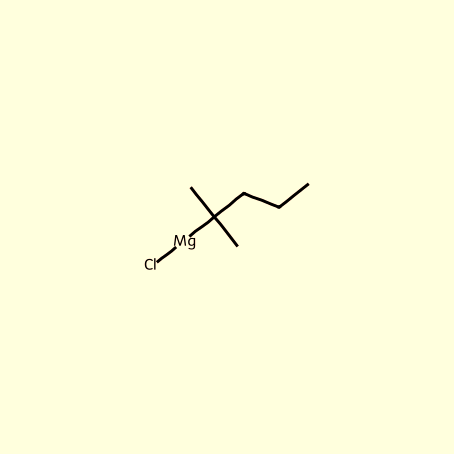 CCC[C](C)(C)[Mg][Cl]